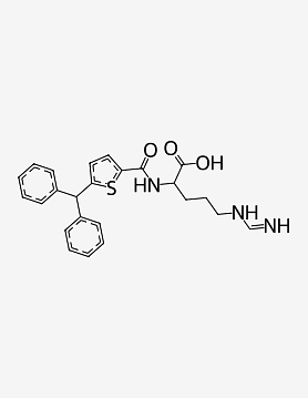 N=CNCCCC(NC(=O)c1ccc(C(c2ccccc2)c2ccccc2)s1)C(=O)O